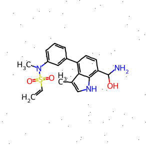 C=CS(=O)(=O)N(C)c1cccc(-c2ccc(C(N)O)c3[nH]cc(C)c23)c1